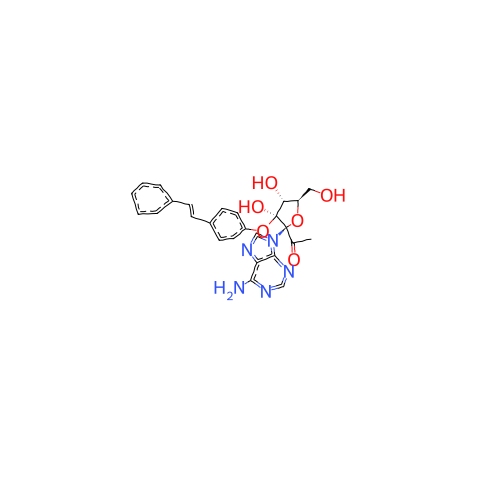 CC(=O)[C@@]1(n2cnc3c(N)ncnc32)O[C@H](CO)[C@@H](O)[C@]1(O)Oc1ccc(C=Cc2ccccc2)cc1